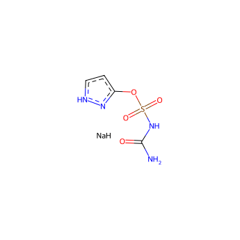 NC(=O)NS(=O)(=O)Oc1cc[nH]n1.[NaH]